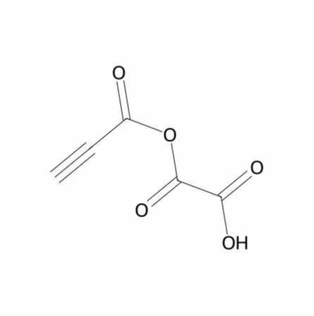 C#CC(=O)OC(=O)C(=O)O